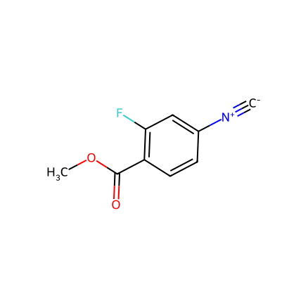 [C-]#[N+]c1ccc(C(=O)OC)c(F)c1